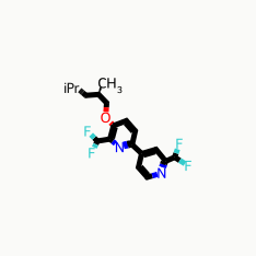 CC(C)C[C@H](C)COc1ccc(-c2ccnc(C(F)F)c2)nc1C(F)F